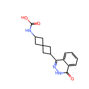 O=C(O)NC1CC2(C1)CC(c1n[nH]c(=O)c3ccccc13)C2